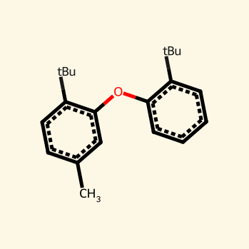 Cc1ccc(C(C)(C)C)c(Oc2ccccc2C(C)(C)C)c1